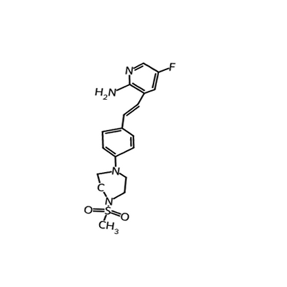 CS(=O)(=O)N1CCN(c2ccc(/C=C/c3cc(F)cnc3N)cc2)CC1